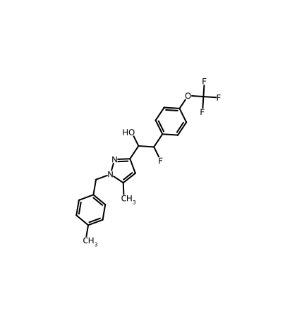 Cc1ccc(Cn2nc(C(O)C(F)c3ccc(OC(F)(F)F)cc3)cc2C)cc1